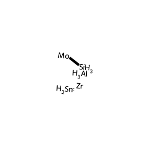 [AlH3].[SiH3][Mo].[SnH2].[Zr]